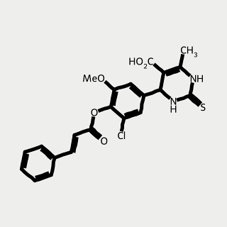 COc1cc(C2NC(=S)NC(C)=C2C(=O)O)cc(Cl)c1OC(=O)/C=C/c1ccccc1